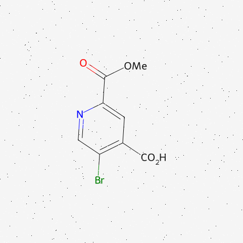 COC(=O)c1cc(C(=O)O)c(Br)cn1